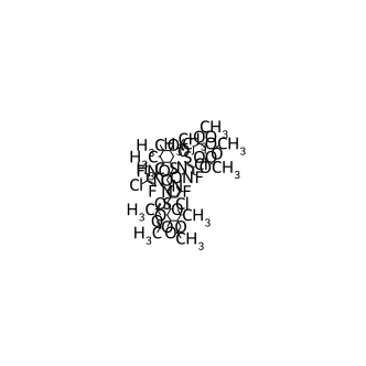 CC(=O)OC1CC(SC(Oc2nc(F)c(Cl)c(F)n2)(Oc2nc(F)c(Cl)c(SC3OC(OC(C)=O)C(OC(C)=O)C(OC(C)=O)C3C)n2)Oc2nc(F)c(Cl)c(SC3OC(C)C(OC(C)=O)C(OC(C)=O)C3OC(C)=O)n2)C(C)C(C)C1C